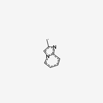 [CH2]c1cn2ccccc2n1